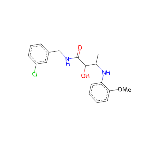 COc1ccccc1NC(C)C(O)C(=O)NCc1cccc(Cl)c1